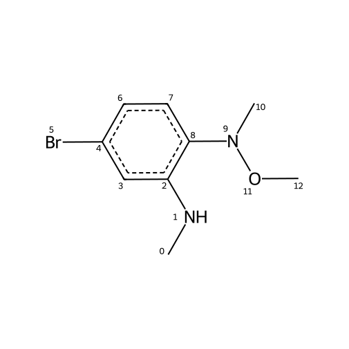 CNc1cc(Br)ccc1N(C)OC